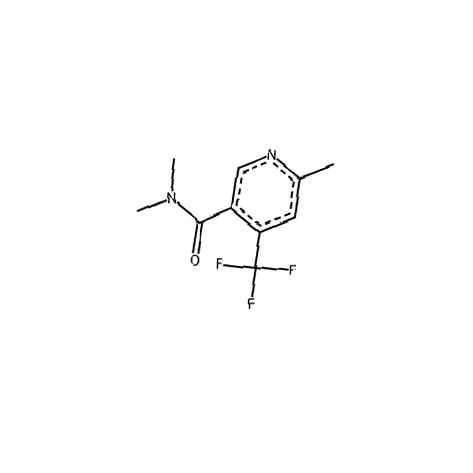 Cc1cc(C(F)(F)F)c(C(=O)N(C)C)cn1